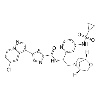 O=C(NC(CN1C[C@H]2C[C@@H]1CO2)c1cc(NS(=O)(=O)C2CC2)ccn1)c1ncc(-c2cnn3ccc(Cl)cc23)s1